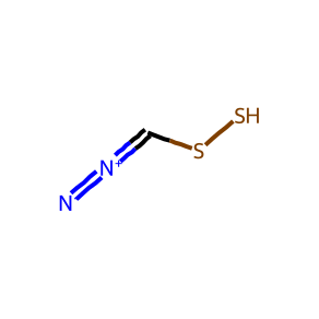 [N-]=[N+]=CSS